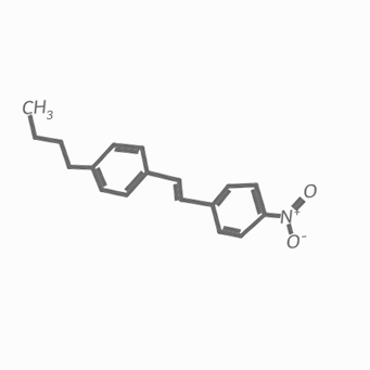 CCCCc1ccc(/C=C/c2ccc([N+](=O)[O-])cc2)cc1